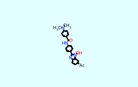 CC(=O)c1ccc2nc(-c3ccc(NC(=O)c4ccc(N(C)C)cc4)cc3)n(O)c2c1